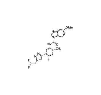 COc1ccc2c(C(=O)Nc3cc(-c4cn(CC(F)F)nn4)c(F)cc3C)cnn2c1